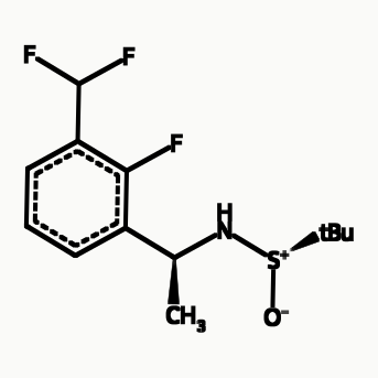 C[C@H](N[S@+]([O-])C(C)(C)C)c1cccc(C(F)F)c1F